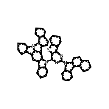 c1ccc2c(c1)ccc1c2c2ccccc2n1-c1nc(-n2c3ccccc3c3cc4c5ccccc5n5c6c7ccccc7ccc6c(c32)c45)c2sc3ccccc3c2n1